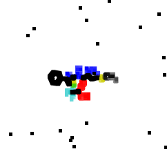 CSCCC(N)C(=O)Nc1nc(-c2ccccc2)cs1.O=C(O)C(F)(F)F